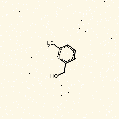 [CH2]c1cccc(CO)n1